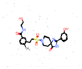 Cc1ccc(C(=O)NCCO)cc1CCS(=O)(=O)N1CCC2(CC1)N=C(c1cccc(O)c1)NC2=O